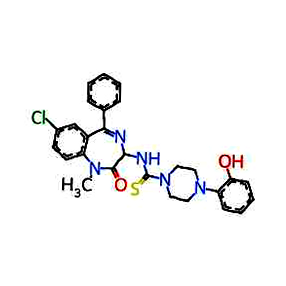 CN1C(=O)C(NC(=S)N2CCN(c3ccccc3O)CC2)N=C(c2ccccc2)c2cc(Cl)ccc21